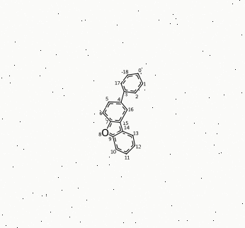 [c]1ccc(-c2ccc3oc4ccccc4c3c2)cc1